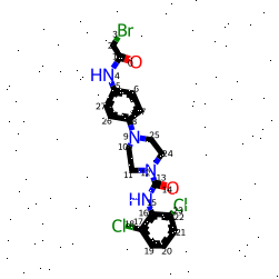 O=C(CBr)Nc1ccc(N2CCN(C(=O)Nc3c(Cl)cccc3Cl)CC2)cc1